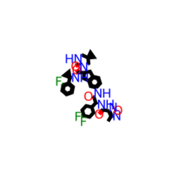 Cc1nonc1C(=O)N[C@H](C(=O)Nc1ccc2c(c1)CC(C(=O)NC1(c3ccccc3F)CC1)(N1CC3(CC3)CNC1=O)C2)C1CCC(F)(F)CC1